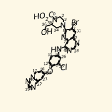 O=C(O)N1CCN(c2nc3c(Nc4ccc(Oc5ccn6ncnc6c5)c(Cl)c4)ncnc3cc2Br)CC1CO